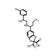 CCCC(NCC(O)c1cccc(Cl)c1)c1ccc2c(c1)OC(C(=O)O)(C(=O)O)O2